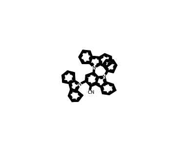 N#Cc1c(-n2c3ccccc3c3ccccc32)cc(-n2c3ccccc3c3ccccc32)c2c1c1ccccc1n2-c1ccccc1